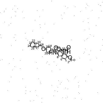 CC(C)Oc1ccc(/C=C(/NC(=O)c2ccc(OCC3Cc4ccccc4C3)cc2)C(=O)NCCO)cc1